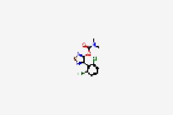 CN(C)C(=O)Oc1nsnc1-c1c(Cl)cccc1Cl